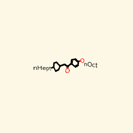 CCCCCCCCOc1ccc(C(=O)CC2CCC(CCCCCCC)CC2)cc1